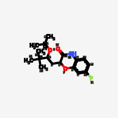 C[SiH](C)OC(CC1Oc2cc(F)ccc2NC1=O)C(C)(C)C